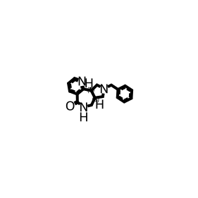 O=C1NC[C@H]2CN(Cc3ccccc3)C[C@@H]2c2ncccc21